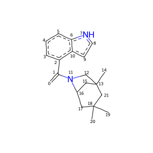 C=C(c1cccc2[nH]ccc12)N1CC2(C)CC1CC(C)(C)C2